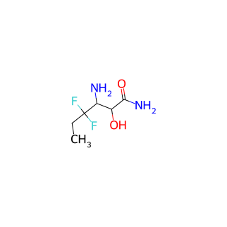 CCC(F)(F)C(N)C(O)C(N)=O